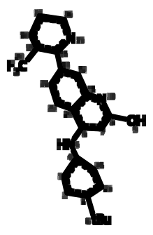 CC(C)(C)c1ccc(Nc2cc(O)nc3cc(-c4ncccc4C(F)(F)F)ccc23)cc1